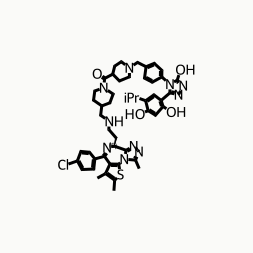 Cc1sc2c(c1C)C(c1ccc(Cl)cc1)=N[C@@H](CCNCC1CCN(C(=O)C3CCN(Cc4ccc(-n5c(O)nnc5-c5cc(C(C)C)c(O)cc5O)cc4)CC3)CC1)c1nnc(C)n1-2